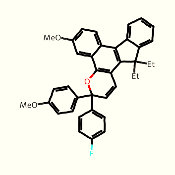 CCC1(CC)c2ccccc2-c2c1c1c(c3cc(OC)ccc23)OC(c2ccc(F)cc2)(c2ccc(OC)cc2)C=C1